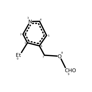 CCc1cnccc1COC=O